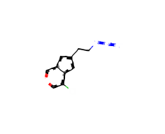 [N-]=[N+]=NCCc1cc2cocc(Cl)c-2c1